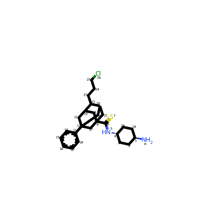 N[C@H]1CC[C@H](NC(=S)C23CC4CC(c5ccccc5)(CC(C2)C4CCCCl)C3)CC1